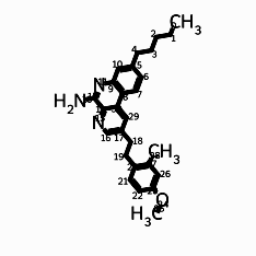 CCCCCc1ccc2c(c1)nc(N)c1ncc(CCc3ccc(OC)cc3C)cc12